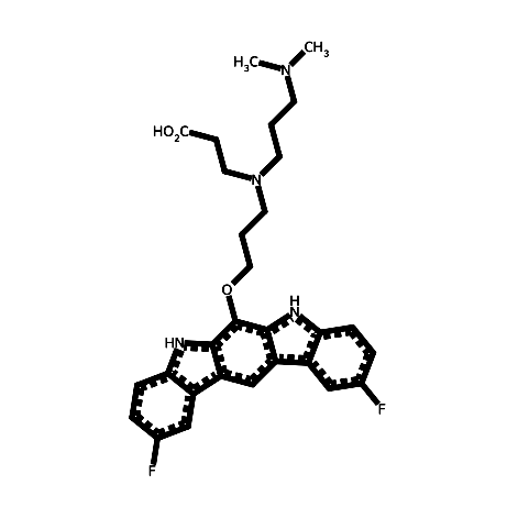 CN(C)CCCN(CCCOc1c2[nH]c3ccc(F)cc3c2cc2c1[nH]c1ccc(F)cc12)CCC(=O)O